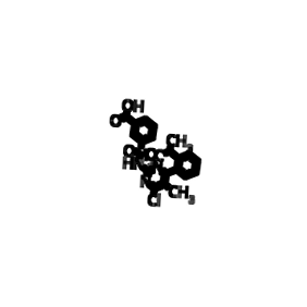 Cc1c(Cl)nc(NS(=O)(=O)c2cccc(C(=O)O)c2)nc1-c1ccccc1C(C)C